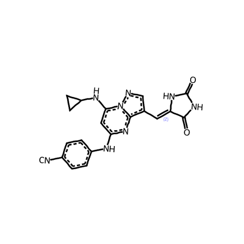 [C-]#[N+]c1ccc(Nc2cc(NC3CC3)n3ncc(/C=C4\NC(=O)NC4=O)c3n2)cc1